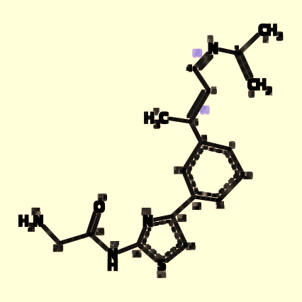 C=C(C)/N=C\C=C(/C)c1cccc(-c2csc(NC(=O)CN)n2)c1